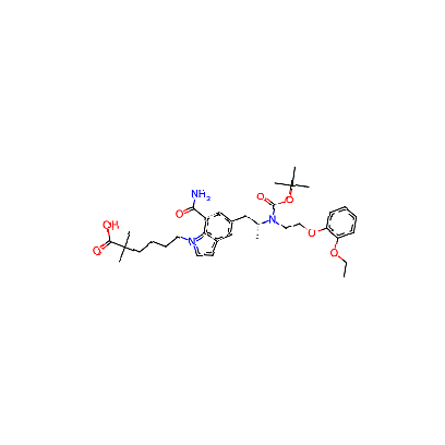 CCOc1ccccc1OCCN(C(=O)OC(C)(C)C)[C@H](C)Cc1cc(C(N)=O)c2c(ccn2CCCCC(C)(C)C(=O)O)c1